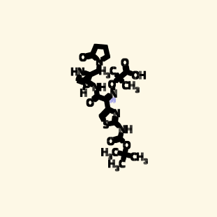 CC(C)(C)OC(=O)Nc1nc(/C(=N/OC(C)(C)C(=O)O)C(=O)N[C@H]2C3NC2(CN2CCCC2=O)O3)cs1